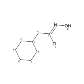 O/N=C(\Cl)CC1CCCCC1